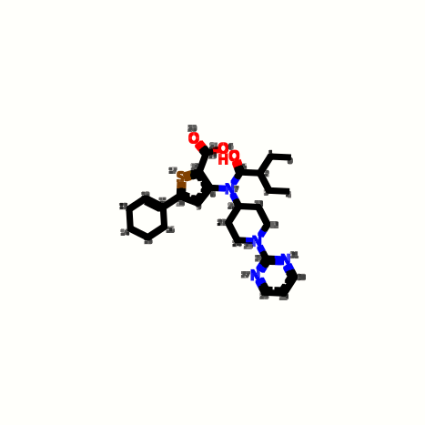 CCC(CC)C(=O)N(c1cc(C2=CCCCC2)sc1C(=O)O)C1CCN(c2ncccn2)CC1